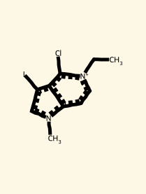 CC[n+]1ccc2c(c(I)cn2C)c1Cl